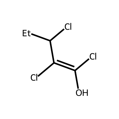 CCC(Cl)/C(Cl)=C(/O)Cl